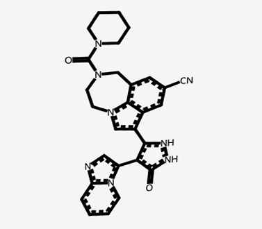 N#Cc1cc2c3c(c1)c(-c1[nH][nH]c(=O)c1-c1cnc4ccccn14)cn3CCN(C(=O)N1CCCCC1)C2